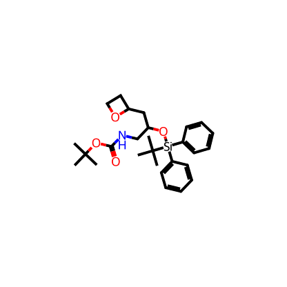 CC(C)(C)OC(=O)NCC(CC1CCO1)O[Si](c1ccccc1)(c1ccccc1)C(C)(C)C